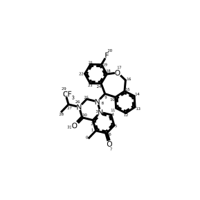 Cc1c2n(ccc1=O)N(C1c3ccccc3COc3c(F)cccc31)CN(C(C)C(F)(F)F)C2=O